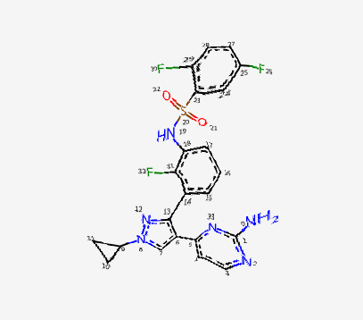 Nc1nccc(-c2cn(C3CC3)nc2-c2cccc(NS(=O)(=O)c3cc(F)ccc3F)c2F)n1